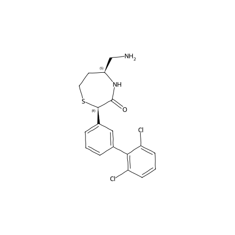 NC[C@@H]1CCS[C@H](c2cccc(-c3c(Cl)cccc3Cl)c2)C(=O)N1